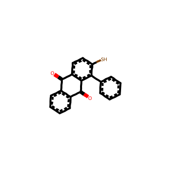 O=C1c2ccccc2C(=O)c2c1ccc(S)c2-c1ccccc1